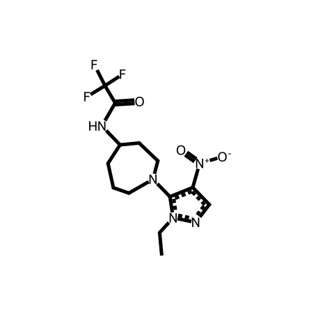 CCn1ncc([N+](=O)[O-])c1N1CCCC(NC(=O)C(F)(F)F)CC1